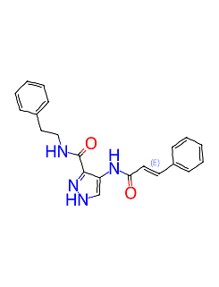 O=C(/C=C/c1ccccc1)Nc1c[nH]nc1C(=O)NCCc1ccccc1